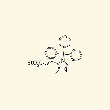 CCOC(=O)/C=C/c1c(C)ncn1C(c1ccccc1)(c1ccccc1)c1ccccc1